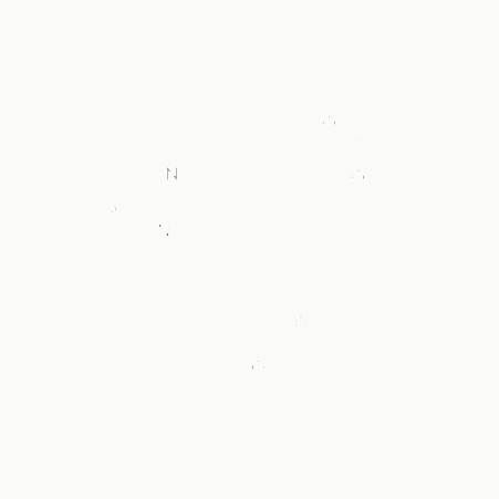 CC(=O)Oc1ccc(-c2nc3n(c2-c2ccc(OC(C)=O)cc2)CCS3)cc1